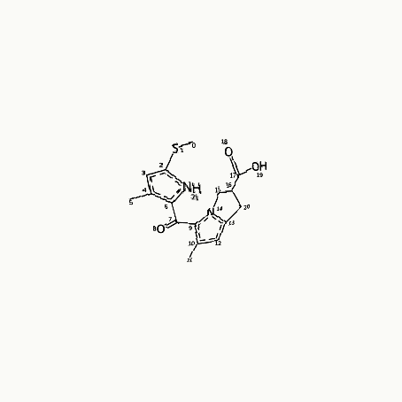 CSc1cc(C)c(C(=O)c2c(C)cc3n2CC(C(=O)O)C3)[nH]1